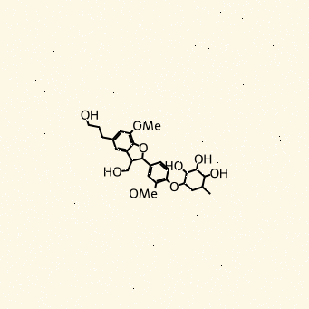 COc1cc(C2Oc3c(OC)cc(CCCO)cc3C2CO)ccc1OC1CC(C)C(O)C(O)C1O